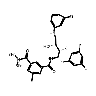 CCCN(CCC)C(=O)c1cc(C)cc(C(=O)N[C@@H](Cc2cc(F)cc(F)c2)[C@@H](O)[C@H](O)CNc2cccc(CC)c2)c1